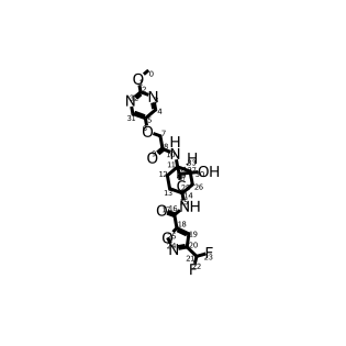 COc1ncc(OCC(=O)NC23CCC(NC(=O)c4cc(C(F)F)no4)(CC2)C[C@@H]3O)cn1